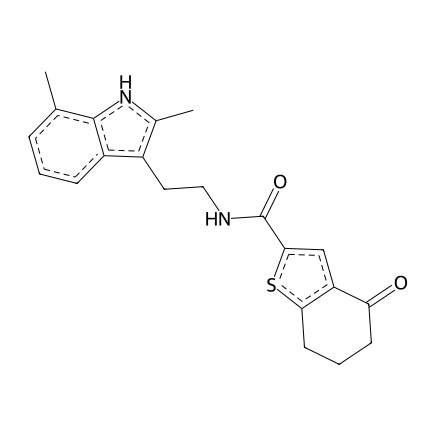 Cc1[nH]c2c(C)cccc2c1CCNC(=O)c1cc2c(s1)CCCC2=O